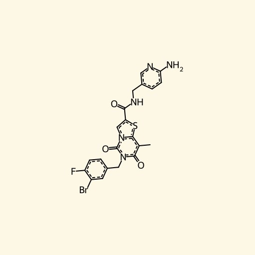 Cc1c(=O)n(Cc2ccc(F)c(Br)c2)c(=O)n2cc(C(=O)NCc3ccc(N)nc3)sc12